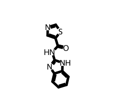 O=C(Nc1nc2ccccc2[nH]1)c1cncs1